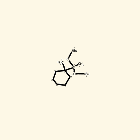 CC(C)(C)O[Si](C)(OC(C)(C)C)C1(C)CCCCC1